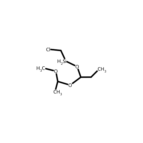 CCC(O[SiH2]CCl)OC(C)OC